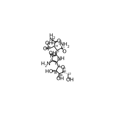 NC(=O)C(c1nc(N)c(C2O[C@H](CO)[C@@H](O)[C@H]2O)[nH]1)C(C(N)=O)P(=O)(O)O